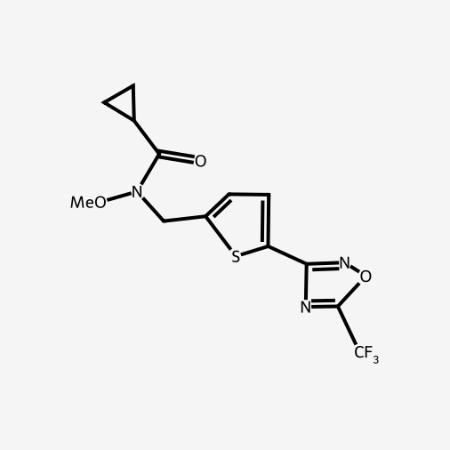 CON(Cc1ccc(-c2noc(C(F)(F)F)n2)s1)C(=O)C1CC1